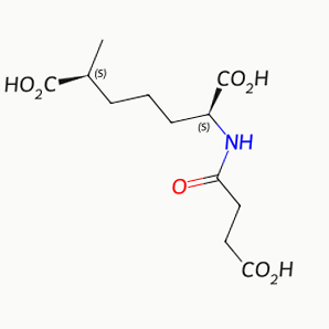 C[C@@H](CCC[C@H](NC(=O)CCC(=O)O)C(=O)O)C(=O)O